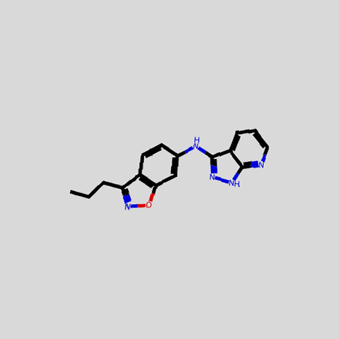 CCCc1noc2cc(Nc3n[nH]c4ncccc34)ccc12